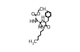 CCCCCCNC(=O)[C@H](Cc1ccccc1)NC(=O)[C@H]1N[C@@H]1C(=O)OCC